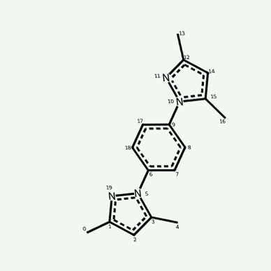 Cc1cc(C)n(-c2ccc(-n3nc(C)cc3C)cc2)n1